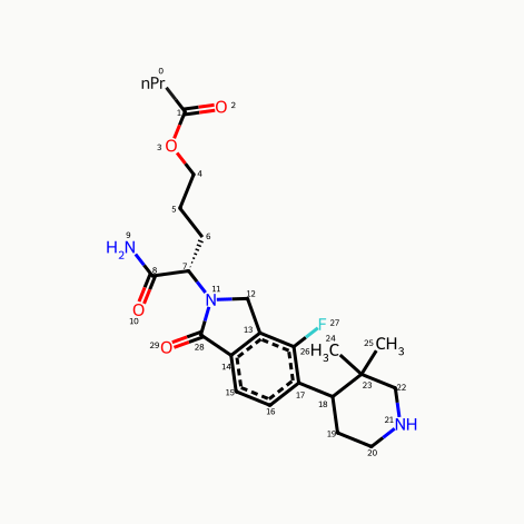 CCCC(=O)OCCC[C@@H](C(N)=O)N1Cc2c(ccc(C3CCNCC3(C)C)c2F)C1=O